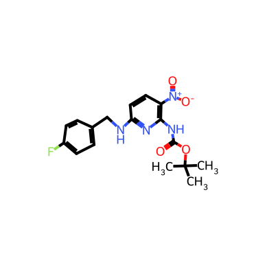 CC(C)(C)OC(=O)Nc1nc(NCc2ccc(F)cc2)ccc1[N+](=O)[O-]